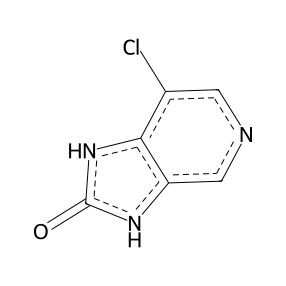 O=c1[nH]c2cncc(Cl)c2[nH]1